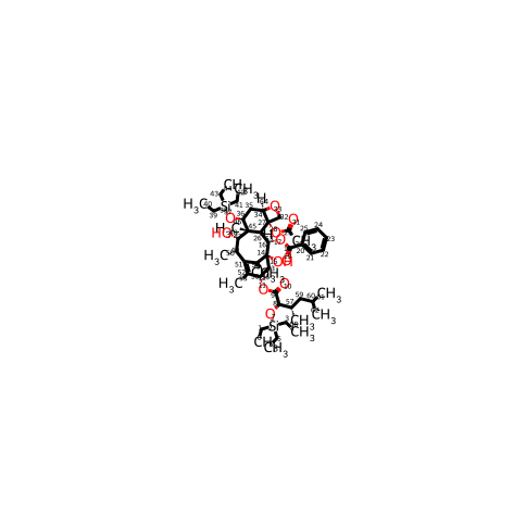 CC[Si](CC)(CC)OC(C(=O)O[C@H]1C[C@@]2(O)[C@@H](OC(=O)c3ccccc3)[C@@H]3[C@]4(OC(C)=O)CO[C@@H]4C[C@H](O[Si](CC)(CC)CC)[C@@]3(C)[C@@H](O)[C@@H](C)C(=C1C)C2(C)C)[C@@H](C)CC(C)C